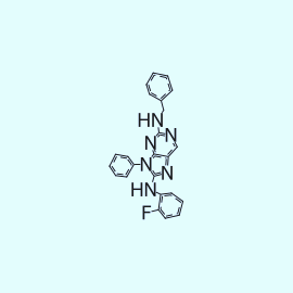 Fc1ccccc1Nc1nc2cnc(NCc3ccccc3)nc2n1-c1ccccc1